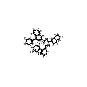 C1=Cc2c(oc3cccc(C4=NC(c5ccc6ccccc6c5)=NC(c5cc(-c6ccccc6)c6ccccc6c5)N4)c23)NC1